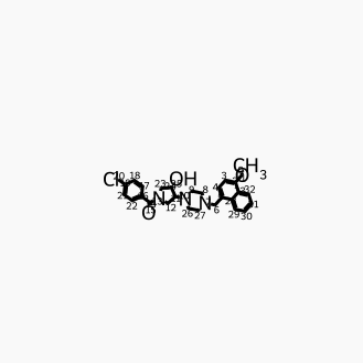 COc1ccc(CN2CCN(C3CN(C(=O)c4ccc(Cl)cc4)CC3O)CC2)c2ccccc12